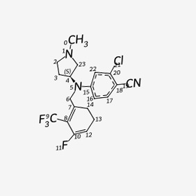 CN1CC[C@H](N(CC2=C(C(F)(F)F)C(F)=CCC2)c2ccc(C#N)c(Cl)c2)C1